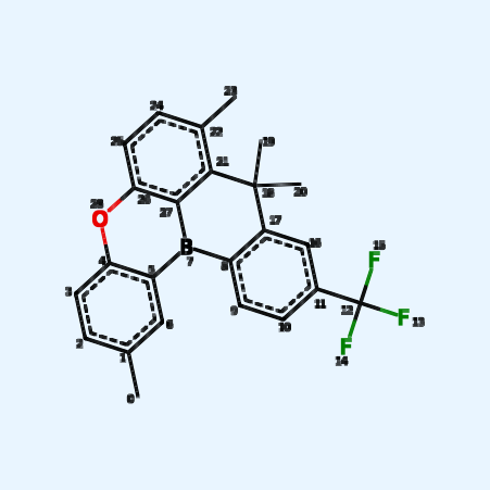 Cc1ccc2c(c1)B1c3ccc(C(F)(F)F)cc3C(C)(C)c3c(C)ccc(c31)O2